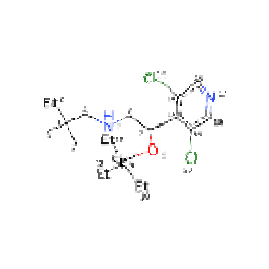 CCC(C)(C)CNCC(O[Si](CC)(CC)CC)c1c(Cl)cncc1Cl